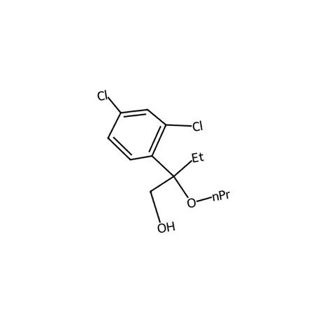 CCCOC(CC)(CO)c1ccc(Cl)cc1Cl